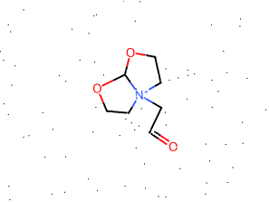 O=CC[N+]12CCOC1OCC2